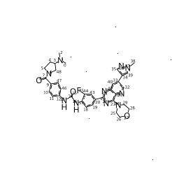 CN(C)[C@@H]1CCN(C(=O)c2ccc(NC(=O)Nc3ccc(-c4nc(N5CCOCC5)c5ncc(-c6cnn(C)c6)cc5n4)cc3F)cc2)C1